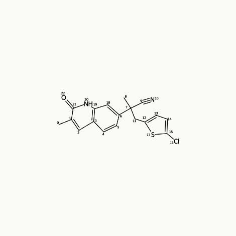 Cc1cc2ccc(C(C)(C#N)Cc3ccc(Cl)s3)cc2[nH]c1=O